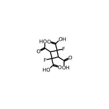 O=C(O)C1C(F)(C(=O)O)C(C(=O)O)C1(F)C(=O)O